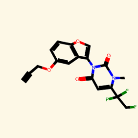 C#CCOc1ccc2occ(-n3c(=O)cc(C(F)(F)CF)n(C)c3=O)c2c1